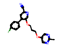 Cc1ncc(OCCCOc2cnc(C#N)cc2-c2ccc(F)cc2)cn1